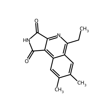 CCc1nc2c(c3cc(C)c(C)cc13)C(=O)NC2=O